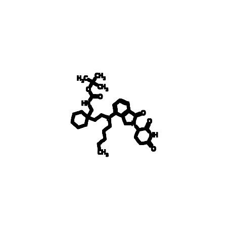 CCCCCN(CCC1(CNC(=O)OC(C)(C)C)CCCCC1)c1cccc2c1CN(C1CCC(=O)NC1=O)C2=O